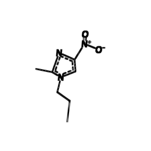 CCCn1cc([N+](=O)[O-])nc1C